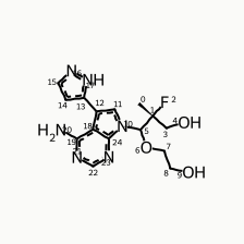 C[C@@](F)(CO)C(OCCO)n1cc(-c2ccn[nH]2)c2c(N)ncnc21